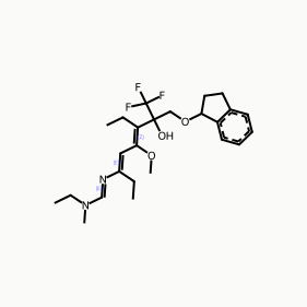 CC\C(=C(/C=C(CC)/N=C/N(C)CC)OC)C(O)(COC1CCc2ccccc21)C(F)(F)F